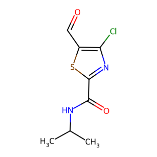 CC(C)NC(=O)c1nc(Cl)c(C=O)s1